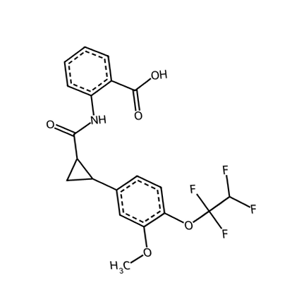 COc1cc(C2CC2C(=O)Nc2ccccc2C(=O)O)ccc1OC(F)(F)C(F)F